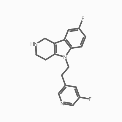 Fc1cncc(CCn2c3c(c4cc(F)ccc42)CNCC3)c1